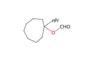 CCCC1(OC=O)CCCCCCC1